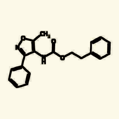 Cc1onc(-c2ccccc2)c1NC(=O)OCCc1ccccc1